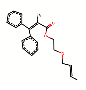 CC=CCOCCOC(=O)C(C#N)=C(c1ccccc1)c1ccccc1